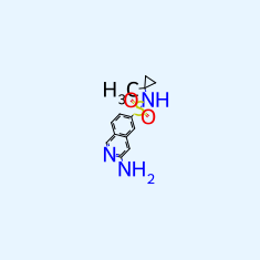 CC1(NS(=O)(=O)c2ccc3cnc(N)cc3c2)CC1